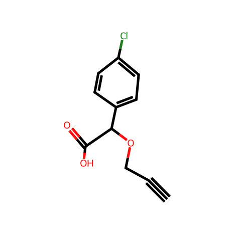 C#CCOC(C(=O)O)c1ccc(Cl)cc1